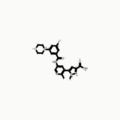 Cc1ncc(NC(=O)c2cc(F)cc(N3CCOCC3)c2)cc1-c1cc(C(=O)O)nn1C